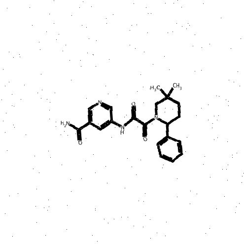 CC1(C)CCC(c2ccccc2)N(C(=O)C(=O)Nc2cncc(C(N)=O)c2)C1